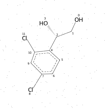 OC[C@@H](O)c1ccc(Cl)cc1Cl